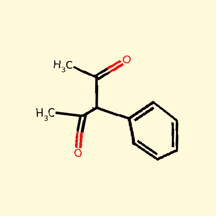 CC(=O)[C](C(C)=O)c1ccccc1